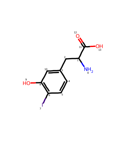 NC(Cc1ccc(I)c(O)c1)C(=O)O